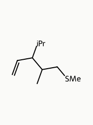 C=CC(C(C)C)C(C)CSC